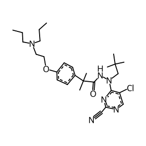 CCCN(CCC)CCOc1ccc(C(C)(C)C(=O)NN(CC(C)(C)C)c2nc(C#N)ncc2Cl)cc1